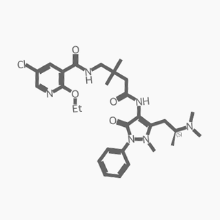 CCOc1ncc(Cl)cc1C(=O)NCC(C)(C)CC(=O)Nc1c(C[C@H](C)N(C)C)n(C)n(-c2ccccc2)c1=O